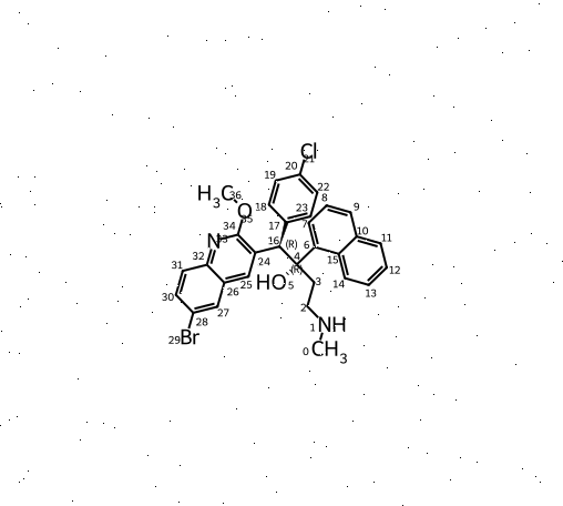 CNCC[C@](O)(c1cccc2ccccc12)[C@H](c1ccc(Cl)cc1)c1cc2cc(Br)ccc2nc1OC